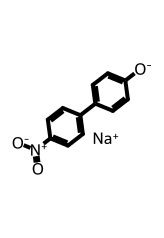 O=[N+]([O-])c1ccc(-c2ccc([O-])cc2)cc1.[Na+]